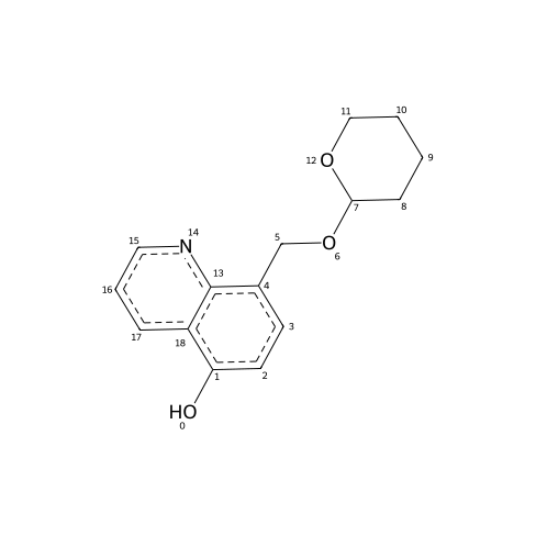 Oc1ccc(COC2CCCCO2)c2ncccc12